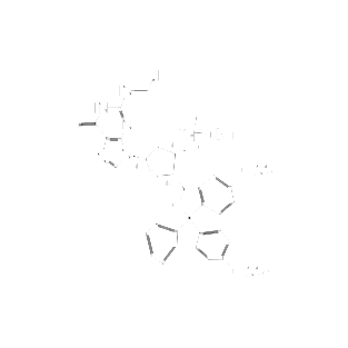 COc1ccc(C(OC[C@H]2O[C@@H](n3cnc4c(=O)[nH]c(NCC(C)C)nc43)[CH][C@H]2O[Si](C)(C)C(C)(C)C)(c2ccccc2)c2ccc(OC)cc2)cc1